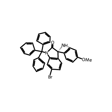 COc1ccc([C@]2(N)C(=O)N(C(c3ccccc3)(c3ccccc3)c3ccccc3)c3cc(Br)ccc32)cc1